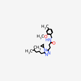 COc1cc(C)ccc1CNC(=O)CCc1nnc(CCCC(C)C)n1C1CC1